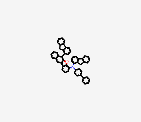 c1ccc(-c2ccc(N(c3cccc4c3Cc3ccccc3-4)c3cccc4c3oc3c(-c5cccc6c5Cc5ccccc5-6)c5ccccc5cc34)cc2)cc1